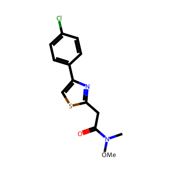 CON(C)C(=O)Cc1nc(-c2ccc(Cl)cc2)cs1